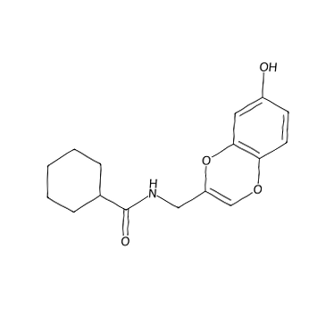 O=C(NCC1=COc2ccc(O)cc2O1)C1CCCCC1